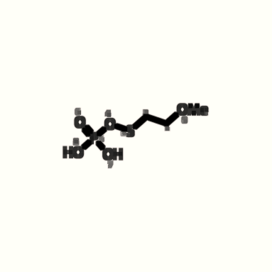 COCCSOP(=O)(O)O